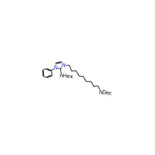 CCCCCCCCCCCCCCCCCCCN1C=CN(c2ccccc2)C1CCCCCC